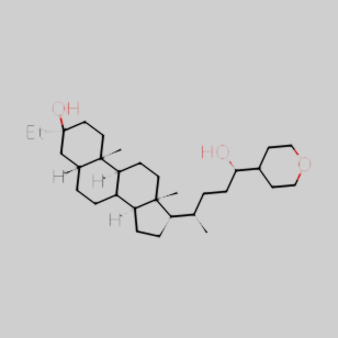 CC[C@]1(O)CC[C@@]2(C)[C@H](CCC3[C@@H]2CC[C@]2(C)[C@@H]([C@H](C)CC[C@@H](O)C4CCOCC4)CC[C@@H]32)C1